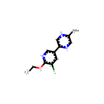 CNc1cnc(-c2cnc(OCC(F)(F)F)c(F)c2)cn1